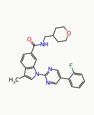 Cc1cn(-c2ncc(-c3ccccc3F)cn2)c2cc(C(=O)NCC3CCOCC3)ccc12